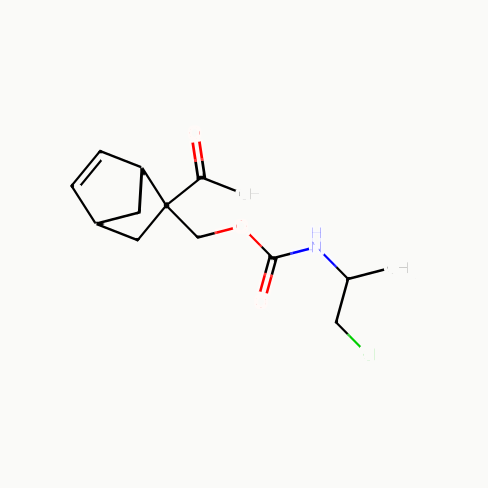 CC(=O)C1(COC(=O)NC(C)CCl)CC2C=CC1C2